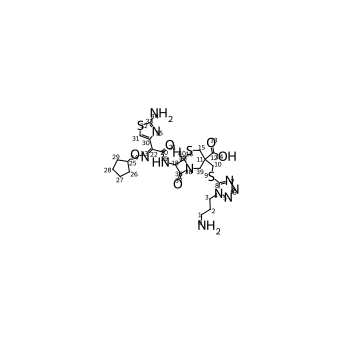 NCCCn1nnnc1SCC1(C(=O)O)CS[C@@H]2C(NC(=O)C(=NOC3CCCC3)c3csc(N)n3)C(=O)N2C1